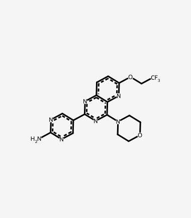 Nc1ncc(-c2nc(N3CCOCC3)c3nc(OCC(F)(F)F)ccc3n2)cn1